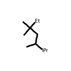 CCC(C)(C)CC(C)C(C)C